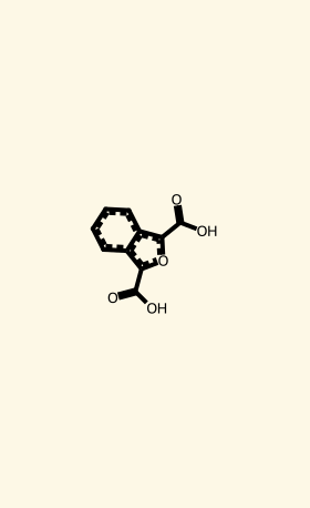 O=C(O)c1oc(C(=O)O)c2ccccc12